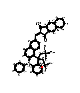 O=C1C(=Cc2ccc3c4c(ccc3c2)N(c2ccccc2)c2ccccc2C4(CC(F)(F)F)CC(F)(F)F)C(=O)c2cc3ccccc3cc21